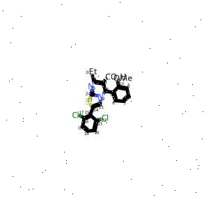 CCC1=C(C(=O)O)C(c2ccccc2OC)N2C=C(c3c(Cl)cccc3Cl)SC2=N1